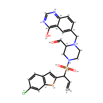 C=CC(c1cc2ccc(Cl)cc2s1)S(=O)(=O)N1CCN(Cc2ccc3ncnc(O)c3c2)C(C=O)C1